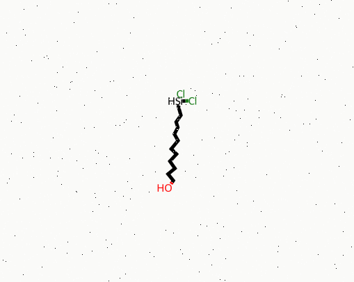 OCCCCCCCCCCCC[SiH](Cl)Cl